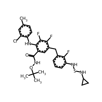 Cc1ccc(Nc2c(C(=O)NOC(C)(C)C)cc(Cc3cccc(NSNC4CC4)c3F)c(F)c2F)c(Cl)c1